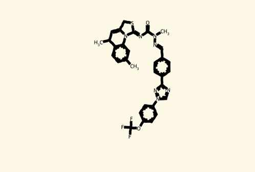 Cc1ccc2c(c1)N1C(=CC2C)CS/C1=N\C(=O)N(C)/N=C/c1ccc(-c2ncn(-c3ccc(OC(F)(F)F)cc3)n2)cc1